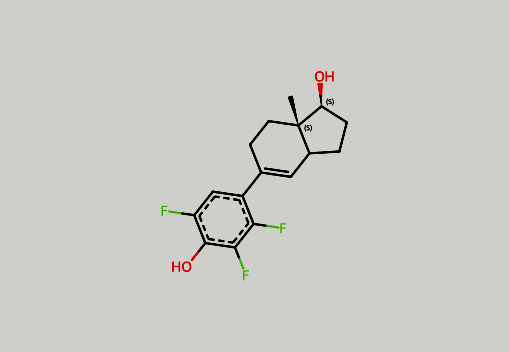 C[C@]12CCC(c3cc(F)c(O)c(F)c3F)=CC1CC[C@@H]2O